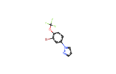 FC(F)(F)Oc1ccc(-n2cccn2)cc1Br